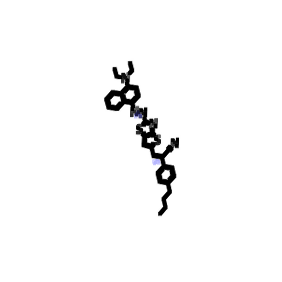 CCCCc1ccc(/C(C#N)=C/c2cc3sc(/N=N/c4ccc(N(CC)CC)c5ccccc45)nc3s2)cc1